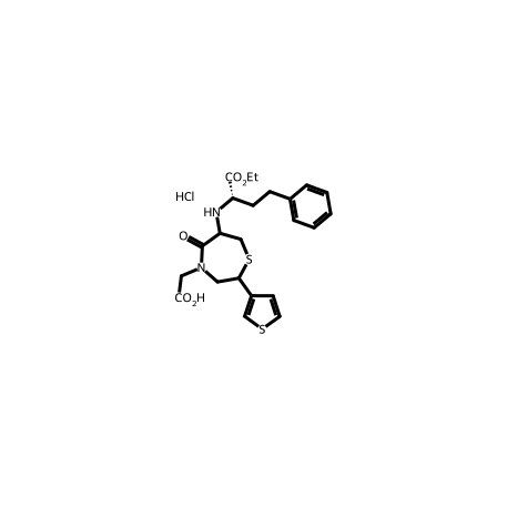 CCOC(=O)[C@H](CCc1ccccc1)NC1CSC(c2ccsc2)CN(CC(=O)O)C1=O.Cl